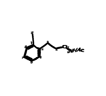 CC(=O)NOCCc1ccccc1C